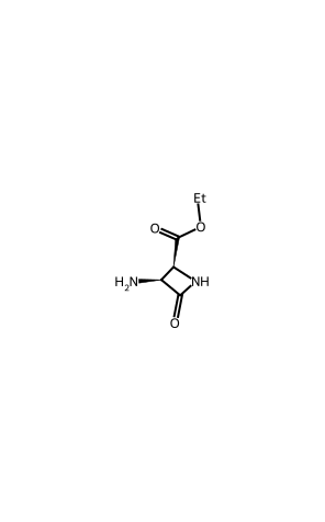 CCOC(=O)[C@H]1NC(=O)[C@H]1N